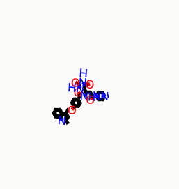 Cc1cc(COc2ccc(C(=O)NC(CC(=O)N3CCN(C)CC3)C3NC(=O)NC3=O)cc2)c2ccccc2n1